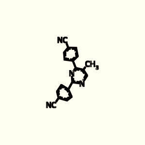 Cc1cnc(-c2ccc(C#N)cc2)nc1-c1ccc(C#N)cc1